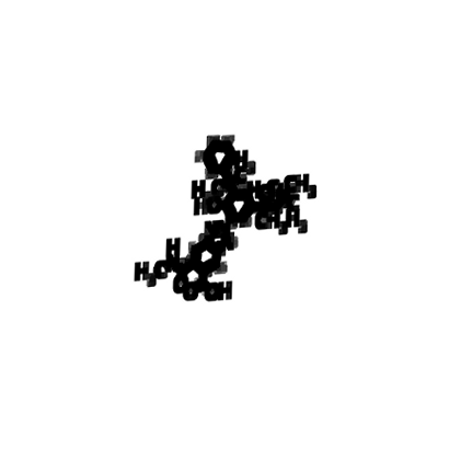 CNC(=O)c1cc2nn(-c3cc(C(C)(C)CC(C)(C)C)cc(C(C)(C)c4ccccc4)c3O)nc2cc1C(=O)O